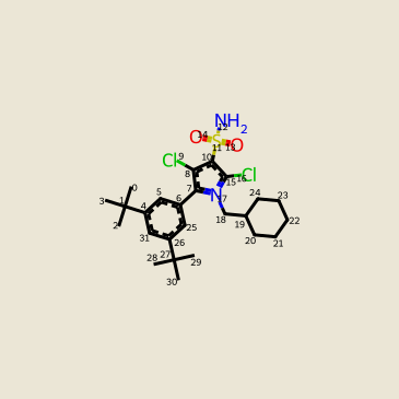 CC(C)(C)c1cc(-c2c(Cl)c(S(N)(=O)=O)c(Cl)n2CC2CCCCC2)cc(C(C)(C)C)c1